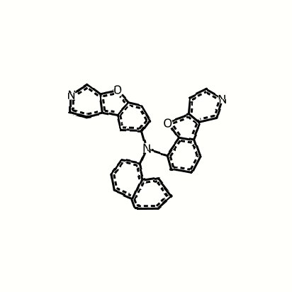 c1ccc2c(N(c3ccc4oc5cnccc5c4c3)c3cccc4c3oc3ccncc34)cccc2c1